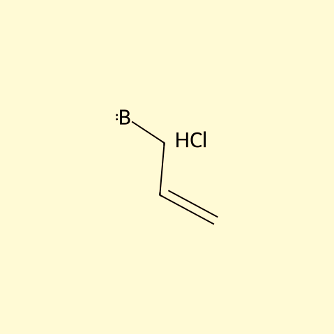 Cl.[B]CC=C